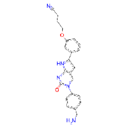 N#CCCCOc1cccc(-c2cc3cn(-c4ccc(CN)cc4)c(=O)nc3[nH]2)c1